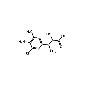 Cc1cc(C(C)C(O)C(=O)O)cc(Cl)c1N